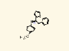 COc1ccc(/N=C(\Cc2ccccc2)c2cccs2)cc1